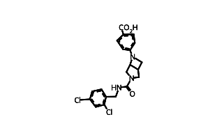 O=C(O)c1ccc(N2CC3CN(C(=O)NCc4ccc(Cl)cc4Cl)CC32)cc1